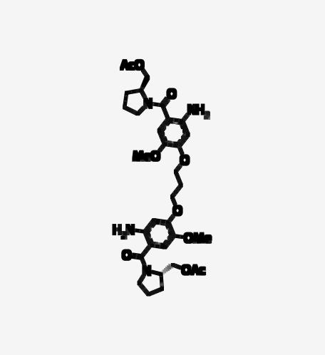 COc1cc(C(=O)N2CCC[C@H]2COC(C)=O)c(N)cc1OCCCOc1cc(N)c(C(=O)N2CCC[C@H]2COC(C)=O)cc1OC